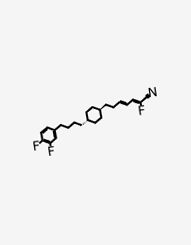 N#CC(F)=CC=CCC[C@H]1CC[C@H](CCCCc2ccc(F)c(F)c2)CC1